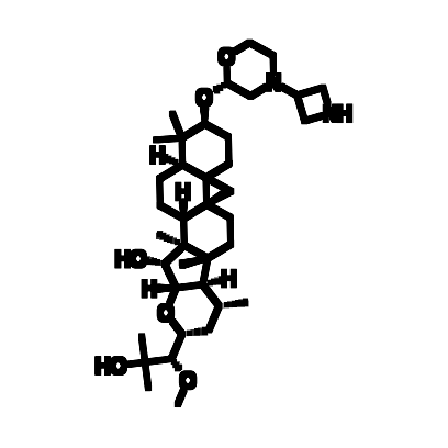 CO[C@@H]([C@H]1C[C@@H](C)[C@H]2[C@H](O1)[C@H](O)[C@@]1(C)[C@@H]3CC[C@H]4C(C)(C)[C@@H](O[C@H]5CN(C6CNC6)CCO5)CCC45C[C@@]35CC[C@]21C)C(C)(C)O